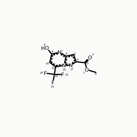 COC(=O)c1cc2nc(O)cc(C(F)(F)F)n2n1